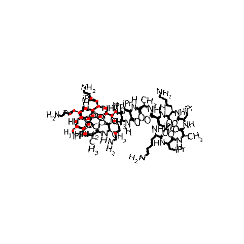 CC(=O)N[C@H](CCCCN)C(=O)NC(CC(C)C)C(=O)N[C@H](C)C(=O)NC(CC(C)C)C(=O)N[C@H](CCCCN)C(=O)NC(CC(C)C)C(=O)N[C@H](C)C(=O)NC(CC(C)C)C(=O)N[C@H](CCCCN)C(=O)N[C@H](C)C(=O)N[C@H](CC(C)C)C(=O)N[C@H](CCCCN)C(=O)N[C@H](CC(C)C)C(=O)N[C@H](C)C(=O)N[C@H](C)C(=O)N[C@H](CC(C)C)C(=O)N[C@H](CCCCN)C(=O)N[C@H](CC(C)C)C(=O)N[C@H](C)C(N)=O